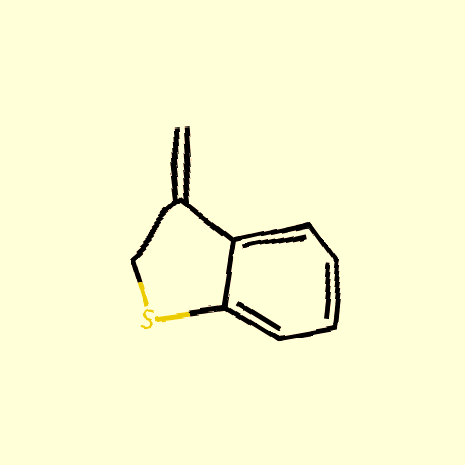 C=C1CSc2ccccc21